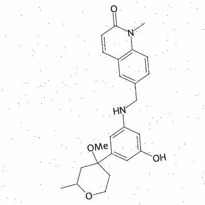 COC1(c2cc(O)cc(NCc3ccc4c(ccc(=O)n4C)c3)c2)CCOC(C)C1